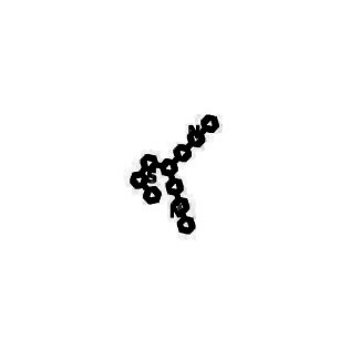 C1=CCC(c2ccc(-c3ccc(-c4cc(-c5ccc(-c6ccc(-c7ccccc7)nc6)cc5)cc(-c5cccc6c5sc5c(-c7ccccc7)cccc56)c4)cc3)cn2)C=C1